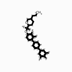 CCCC1CCC(C(F)(F)Oc2ccc(-c3ccc(-c4cc(F)c(F)c(F)c4)cc3)c(F)c2F)OC1